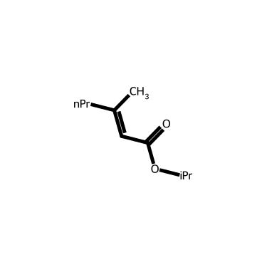 CCC/C(C)=C/C(=O)OC(C)C